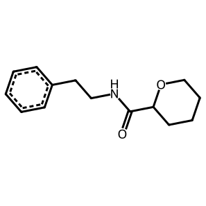 O=C(NCCc1ccccc1)C1CCCCO1